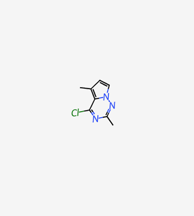 Cc1nc(Cl)c2c(C)ccn2n1